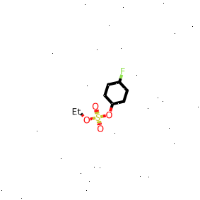 CCOS(=O)(=O)OC1CCC(F)CC1